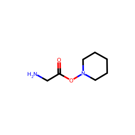 NCC(=O)ON1CCCCC1